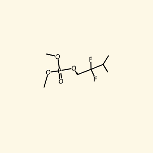 COP(=O)(OC)OCC(F)(F)C(C)C